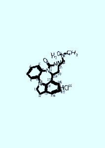 CNC(=O)N1c2ccccc2N2CCc3cccc(c32)C1CCCN(C)C.Cl